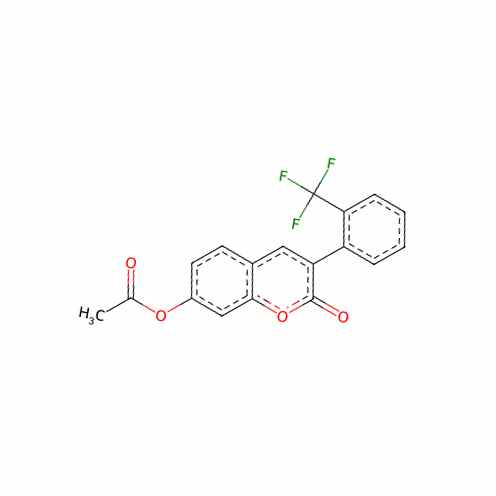 CC(=O)Oc1ccc2cc(-c3ccccc3C(F)(F)F)c(=O)oc2c1